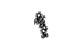 O=C(NF)N(Nc1nnc(-c2ccc([N+](=O)[O-])cc2F)s1)C(=O)c1ccccc1